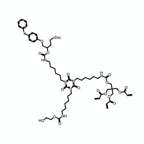 C=CC(=O)OCC(COC(=O)C=C)(COC(=O)C=C)COC(=O)NCCCCCCn1c(=O)n(CCCCCCNC(=O)OCCO)c(=O)n(CCCCCCNC(=O)OC(CCCCCCCCCCCC)COc2ccc([I+]c3ccccc3)cc2)c1=O